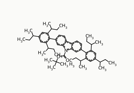 CCC(C)c1cc(C(C)CC)c(-c2ccc3c4ccc(-c5c(C(C)CC)cc(C(C)CC)cc5C(C)CC)cc4n(C(=O)OC(C)(C)C)c3c2)c(C(C)CC)c1